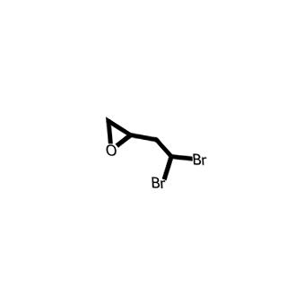 BrC(Br)CC1CO1